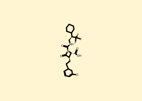 O=C(O)[C@@H]1[C@@H](CCC2C=CC=C(Cl)C2)C(=O)N1C(=O)NC[C@@H](C1CCCCC1)C(F)(F)F